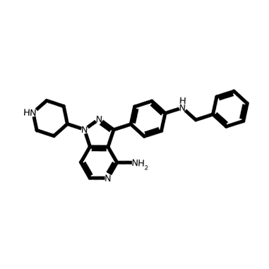 Nc1nccc2c1c(-c1ccc(NCc3ccccc3)cc1)nn2C1CCNCC1